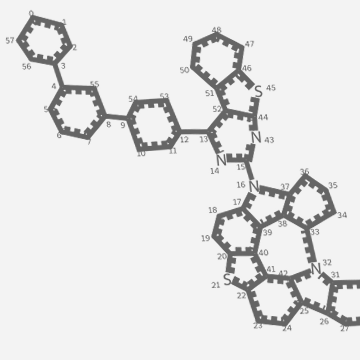 c1ccc(-c2cccc(-c3ccc(-c4nc(-n5c6ccc7sc8ccc9c%10ccccc%10n%10c%11cccc5c%11c6c7c8c9%10)nc5sc6ccccc6c45)cc3)c2)cc1